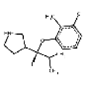 Cc1c(Cl)cccc1O[C@](I)(C(C)C)C1CCNC1